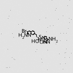 Nc1nc2cc(CC[C@H]3S[C@@H](n4ccc5c(N)ncnc54)[C@H](O)[C@@H]3O)ccc2cc1Br